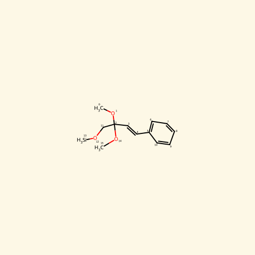 COC(C=Cc1ccccc1)(CO[SiH3])OC